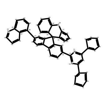 c1ccc(-c2cc(-c3ccccc3)nc(-c3ccc4c(c3)C3(c5ccccc5Sc5ccccc53)c3cc(-c5cccc6ncccc56)ccc3-4)n2)cc1